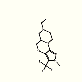 CCN1CCN2c3nn(C)c(C(F)(F)F)c3OCC2C1